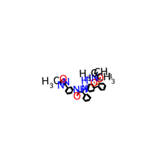 Cc1nc(-c2cccc(NC(=O)C(Nc3ccc(-c4ccccc4S(=O)(=O)NC(C)(C)C)cc3)c3ccccc3)c2)no1